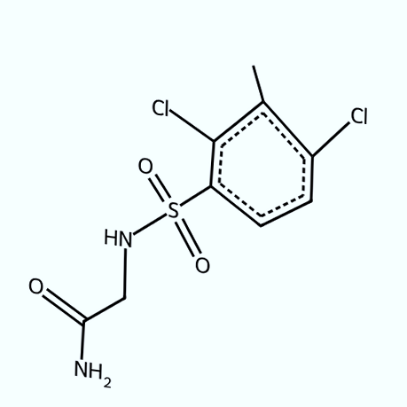 Cc1c(Cl)ccc(S(=O)(=O)NCC(N)=O)c1Cl